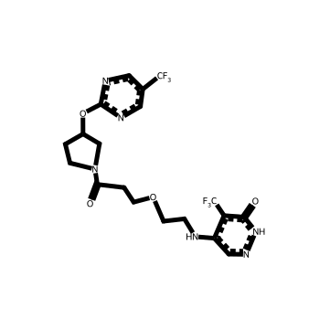 O=C(CCOCCNc1cn[nH]c(=O)c1C(F)(F)F)N1CCC(Oc2ncc(C(F)(F)F)cn2)C1